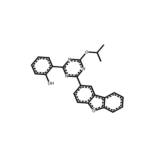 CC(C)Oc1nc(-c2ccc3oc4ccccc4c3c2)nc(-c2ccccc2O)n1